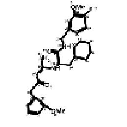 COc1cccc(CC(=O)N=C(N)N[C@H](CC2CCCCC2)C(=O)NCc2ccc(F)c(OC)c2)c1